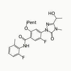 CCCC(C)Oc1cc(-n2nc(C(C)O)n(C)c2=O)c(F)cc1C(=O)Nc1c(C)cccc1F